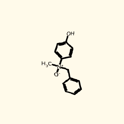 C[N+]([O-])(Cc1ccccc1)c1ccc(O)cc1